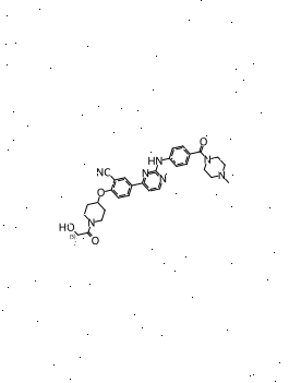 C[C@H](O)C(=O)N1CCC(Oc2ccc(-c3ccnc(Nc4ccc(C(=O)N5CCN(C)CC5)cc4)n3)cc2C#N)CC1